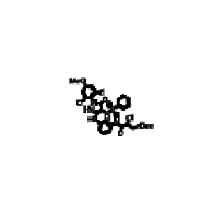 CCCCCCCCCCCC(Cl)C(=O)Nc1cccc(Nc2[nH]n(-c3c(Cl)cc(OC)cc3Cl)c(=O)c2NS(=O)(=O)c2ccccc2)c1